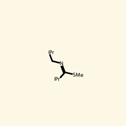 CS/C(=N/CC(C)C)C(C)C